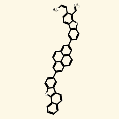 C=Cc1c(/C=C\C)ccc2c1sc1ccc(-c3cc4ccc5cc(-c6ccc7sc8c9ccccc9ccc8c7c6)cc6ccc(c3)c4c56)cc12